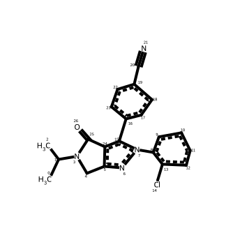 CC(C)N1Cc2nn(-c3ccccc3Cl)c(-c3ccc(C#N)cc3)c2C1=O